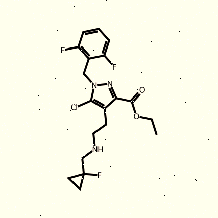 CCOC(=O)c1nn(Cc2c(F)cccc2F)c(Cl)c1CCNCC1(F)CC1